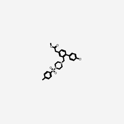 COC(=O)Cc1ccc(-c2ccc(Cl)cc2)c(CN2CCN(S(=O)(=O)c3ccc(C)cc3)CC2)c1